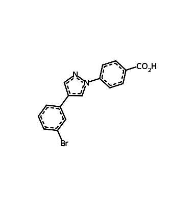 O=C(O)c1ccc(-n2cc(-c3cccc(Br)c3)cn2)cc1